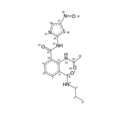 CCCNC(=O)c1cccc(C(=O)Nc2ncc(N=O)s2)c1NC(C)=O